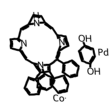 C1=Cc2cc3c(-c4ccccc4)c(-c4ccccc4)c(c(-c4ccccc4)c4nc(cc5ccc(cc1n2)[nH]5)C=C4)n3-c1ccccc1.Oc1ccc(O)cc1.[Co].[Pd]